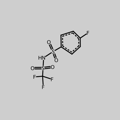 O=S(=O)(NS(=O)(=O)C(F)(F)F)c1ccc(F)cc1